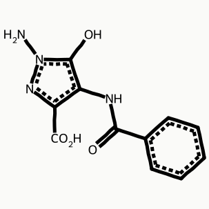 Nn1nc(C(=O)O)c(NC(=O)c2ccccc2)c1O